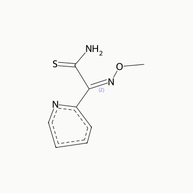 CO/N=C(\C(N)=S)c1ccccn1